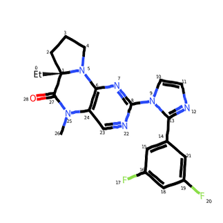 CC[C@@]12CCCN1c1nc(-n3ccnc3-c3cc(F)cc(F)c3)ncc1N(C)C2=O